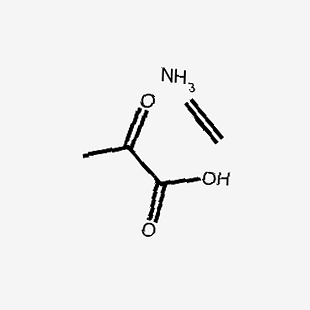 C=C.CC(=O)C(=O)O.N